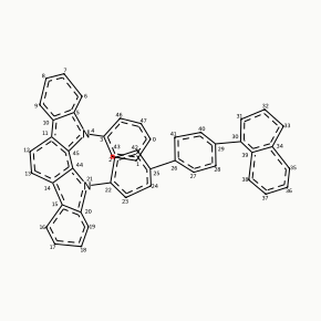 c1ccc(-n2c3ccccc3c3ccc4c5ccccc5n(-c5ccc(-c6ccc(-c7cccc8ccccc78)cc6)cc5)c4c32)cc1